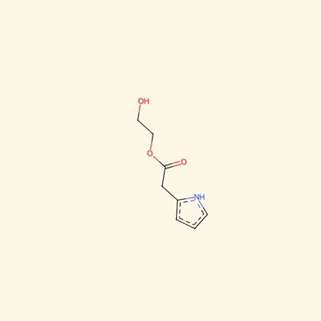 O=C(Cc1ccc[nH]1)OCCO